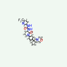 O=C(Nc1ccc(C(F)(F)F)nc1)N[C@@H]1CCCN(c2ccc(C3(CN4CCOCC4)CCCC3)cc2)C1=O